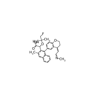 C/N=C\C=C1\CCOc2ccc(-c3c([C@H](OC(C)(C)CF)C(=O)O)c(C)cc4ccccc34)cc21